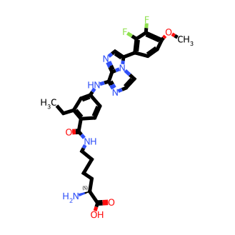 CCc1cc(Nc2nccn3c(-c4ccc(OC)c(F)c4F)cnc23)ccc1C(=O)NCCCC[C@H](N)C(=O)O